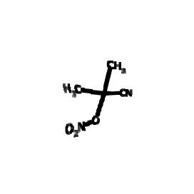 CC(C)(C#N)O[N+](=O)[O-]